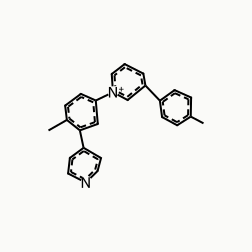 Cc1ccc(-c2ccc[n+](-c3ccc(C)c(-c4ccncc4)c3)c2)cc1